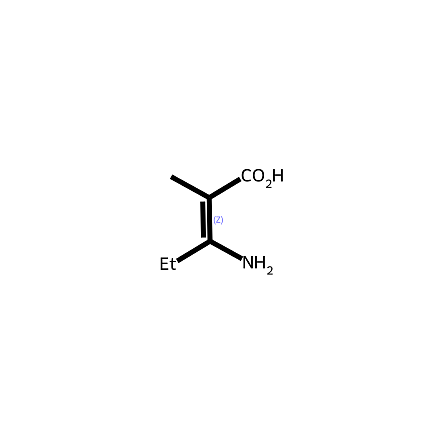 CC/C(N)=C(\C)C(=O)O